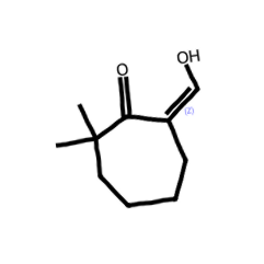 CC1(C)CCCC/C(=C/O)C1=O